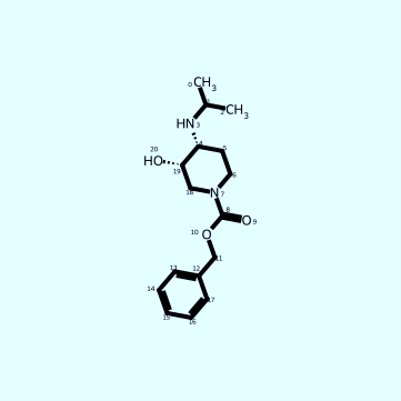 CC(C)N[C@@H]1CCN(C(=O)OCc2ccccc2)C[C@@H]1O